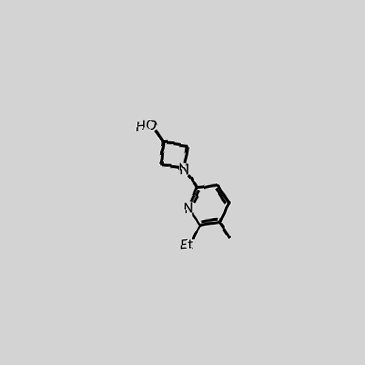 CCc1nc(N2CC(O)C2)ccc1C